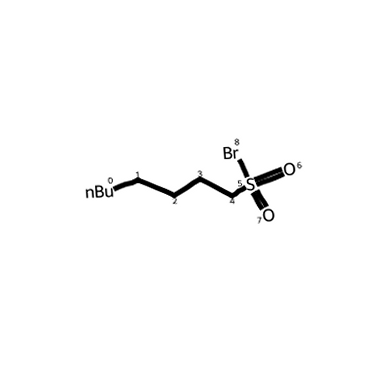 CCCCCCCCS(=O)(=O)Br